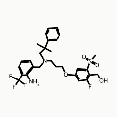 CC(C)(CN(CCCOc1cc(F)c(CO)c(S(C)(=O)=O)c1)Cc1cccc(C(F)(F)F)c1N)c1ccccc1